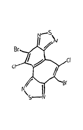 Clc1c(Br)c2nsnc2c2c(Cl)c(Br)c3nsnc3c12